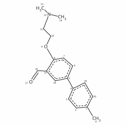 Cc1ccc(-c2ccc(OCCN(C)C)c(C=O)c2)cc1